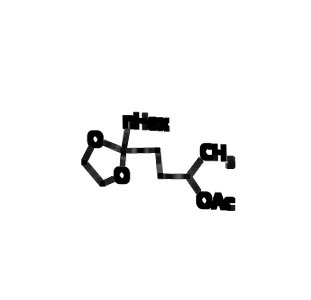 CCCCCCC1(CCC(C)OC(C)=O)OCCO1